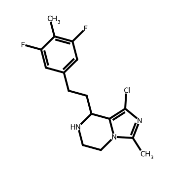 Cc1c(F)cc(CCC2NCCn3c(C)nc(Cl)c32)cc1F